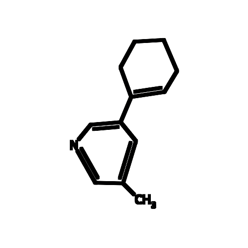 Cc1cncc(C2=CCCCC2)c1